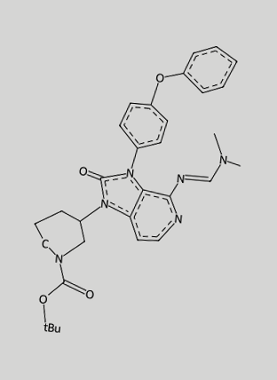 CN(C)/C=N/c1nccc2c1n(-c1ccc(Oc3ccccc3)cc1)c(=O)n2C1CCCN(C(=O)OC(C)(C)C)C1